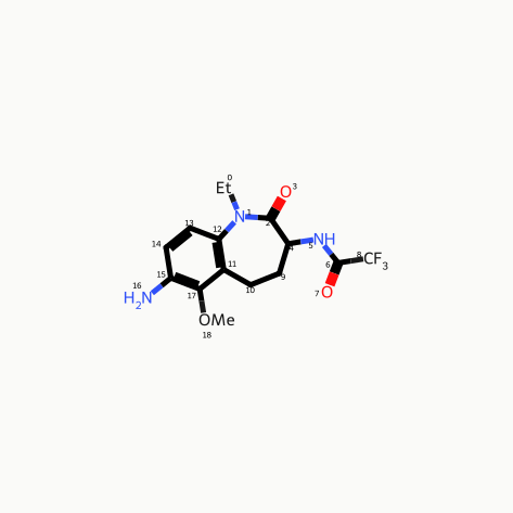 CCN1C(=O)C(NC(=O)C(F)(F)F)CCc2c1ccc(N)c2OC